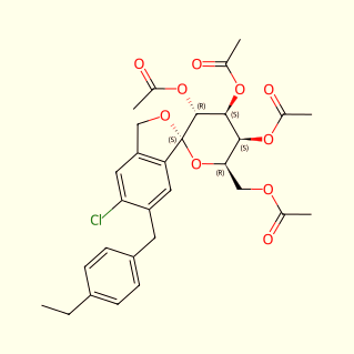 CCc1ccc(Cc2cc3c(cc2Cl)CO[C@]32O[C@H](COC(C)=O)[C@H](OC(C)=O)[C@H](OC(C)=O)[C@H]2OC(C)=O)cc1